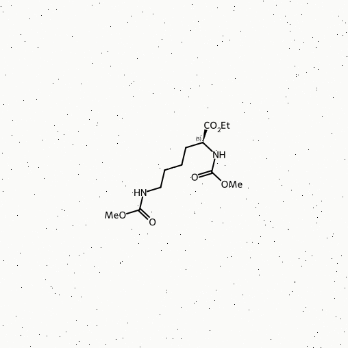 CCOC(=O)[C@H](CCCCNC(=O)OC)NC(=O)OC